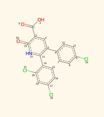 O=C(O)c1cc(-c2ccc(Cl)cc2)c(-c2ccc(Cl)cc2Cl)[nH]c1=O